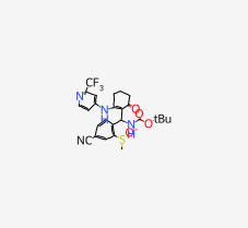 C[S+]([O-])c1cc(C#N)ccc1C(NC(=O)OC(C)(C)C)C1=C(Nc2ccnc(C(F)(F)F)c2)CCCC1=O